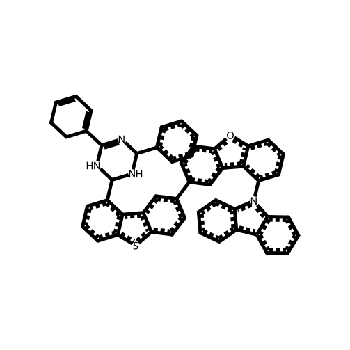 C1=CCCC(C2=NC(c3ccccc3)NC(c3cccc4sc5ccc(-c6ccc7oc8cccc(-n9c%10ccccc%10c%10ccccc%109)c8c7c6)cc5c34)N2)=C1